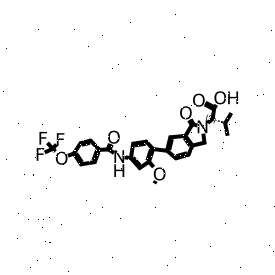 COc1cc(NC(=O)c2ccc(OC(F)(F)F)cc2)ccc1-c1ccc2c(c1)C(=O)N([C@H](C(=O)O)C(C)C)C2